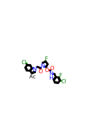 CC(=O)c1cn(CC(=O)N2C[C@H](F)C[C@@H]2OC(=O)NCc2cccc(Cl)c2F)c2cc(Cl)ccc12